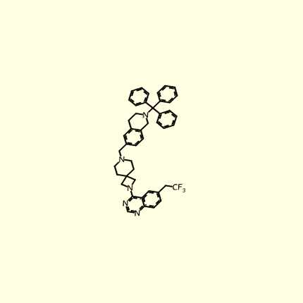 FC(F)(F)Cc1ccc2ncnc(N3CC4(CCN(Cc5ccc6c(c5)CCN(C(c5ccccc5)(c5ccccc5)c5ccccc5)C6)CC4)C3)c2c1